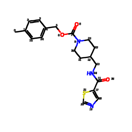 Cc1ccc(COC(=O)N2CCC(CNC(=O)c3cncs3)CC2)cc1